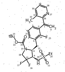 C=C(c1cccc(C[C@H]2[C@@H](NS(=O)(=O)CC)C(F)(F)CN2C(=O)OC(C)(C)C)c1F)c1ncccc1C